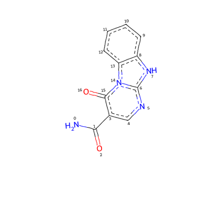 NC(=O)c1cnc2[nH]c3ccccc3n2c1=O